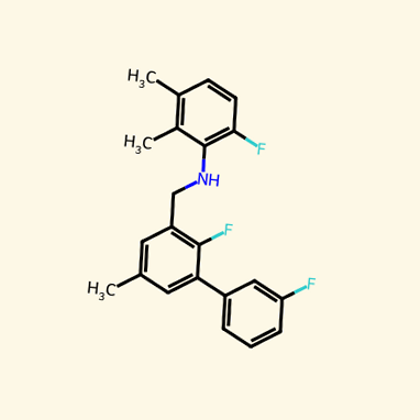 Cc1cc(CNc2c(F)ccc(C)c2C)c(F)c(-c2cccc(F)c2)c1